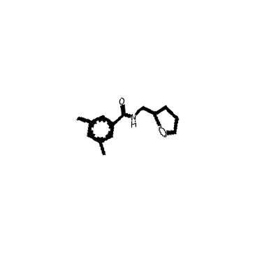 Cc1cc(C)cc(C(=O)NCC2CCCO2)c1